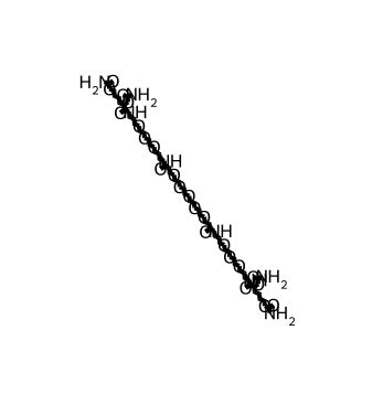 NC(=O)OCCCCC(OC(N)=O)C(=O)NCCCOCCOCCOCCCNC(=O)CCOCCOCCOCCOCCOCCC(=O)NCCCOCCOCCOCCCNC(=O)C(CCCCOC(N)=O)OC(N)=O